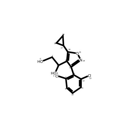 OCC(O)c1c(-c2c(Cl)cccc2Cl)noc1C1CC1